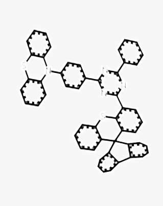 c1ccc(-c2nc(-c3ccc(N4c5ccccc5Sc5ccccc54)cc3)nc(-c3cccc4c3Sc3ccccc3C43c4ccccc4-c4ccccc43)n2)cc1